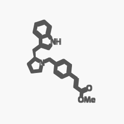 COC(=O)/C=C/c1ccc(CN2CCC[C@H]2Cc2c[nH]c3ccccc23)cc1